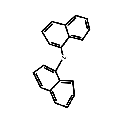 c1ccc2c([Se]c3cccc4ccccc34)cccc2c1